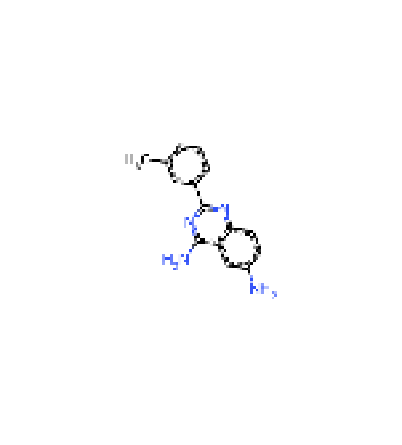 Cc1cccc(-c2nc(N)c3cc(N)ccc3n2)c1